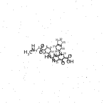 CNCCS(=O)(=O)c1cccc(Nc2ncc3c(=O)c(C(=O)O)cn(-c4ccc5c(c4)CCC5)c3n2)c1